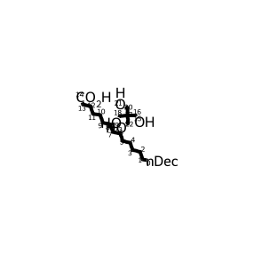 CCCCCCCCCCCCCCCCCCCCCCCC(=O)O.OCC(CO)(CO)CO